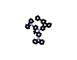 CC1(C)c2cc(-n3c4ccccc4c4ccccc43)ccc2N(c2ccc3c4ccccc4c4ccc(-c5ccccc5)cc4c3c2)c2ccc(-n3c4ccccc4c4ccccc43)cc21